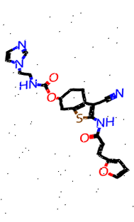 N#Cc1c(NC(=O)C=Cc2ccco2)sc2c1CCC(OC(=O)NCCn1ccnc1)C2